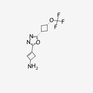 NC1C=C(c2nnc([C@H]3C[C@@H](OC(F)(F)F)C3)o2)C1